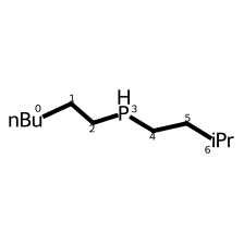 CCCCCCPCCC(C)C